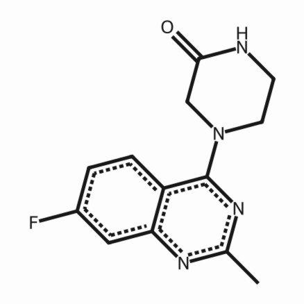 Cc1nc(N2CCNC(=O)C2)c2ccc(F)cc2n1